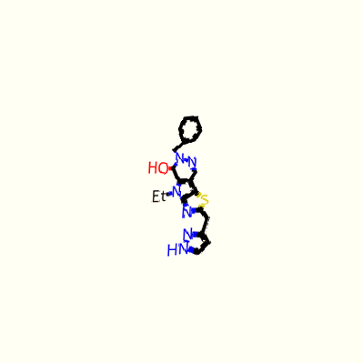 CCn1c2c(c3sc(Cc4cc[nH]n4)nc31)C=NN(Cc1ccccc1)C2O